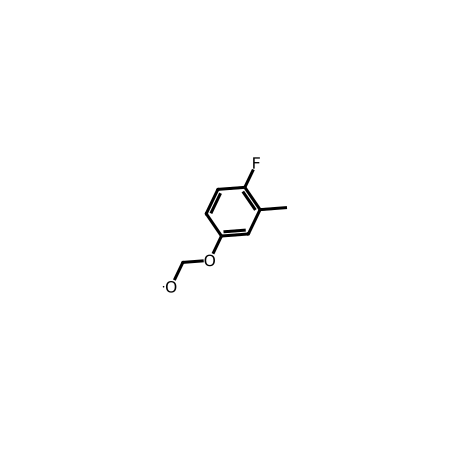 Cc1cc(OC[O])ccc1F